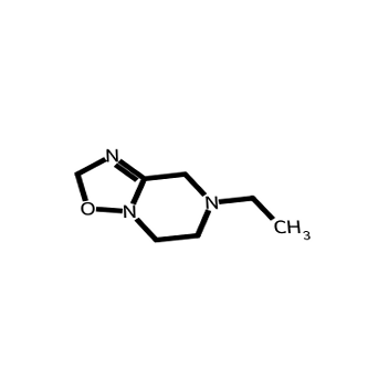 CCN1CCN2OCN=C2C1